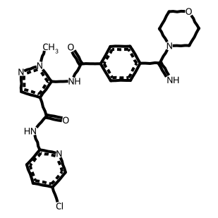 Cn1ncc(C(=O)Nc2ccc(Cl)cn2)c1NC(=O)c1ccc(C(=N)N2CCOCC2)cc1